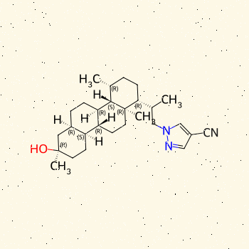 CC(Cn1cc(C#N)cn1)[C@H]1CC[C@@H](C)[C@H]2[C@@H]3CC[C@@H]4C[C@](C)(O)CC[C@@H]4[C@H]3CC[C@@]21C